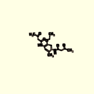 CCOc1cc(NC(=O)CC(C)=O)c(C)cc1NC(=O)CC(C)=O